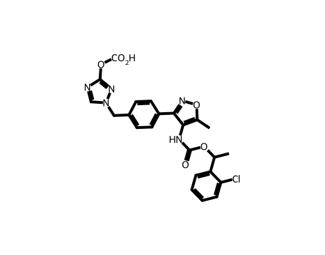 Cc1onc(-c2ccc(Cn3cnc(OC(=O)O)n3)cc2)c1NC(=O)OC(C)c1ccccc1Cl